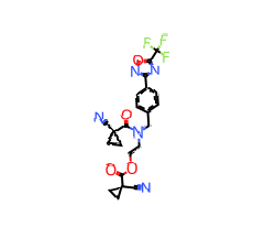 N#CC1(C(=O)OCCN(Cc2ccc(-c3noc(C(F)(F)F)n3)cc2)C(=O)C2(C#N)CC2)CC1